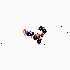 CS(=O)(=O)NC(=O)c1ccc2c(Oc3ccc(C[C@@H](CO)N(Cc4ccccc4)C[C@H](O)COc4cccc5[nH]c6ccccc6c45)cc3)ccnc2c1